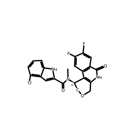 CN(C(=O)c1cc2c(Cl)cccc2[nH]1)[C@@H]1COCc2[nH]c(=O)c3cc(F)c(F)cc3c21